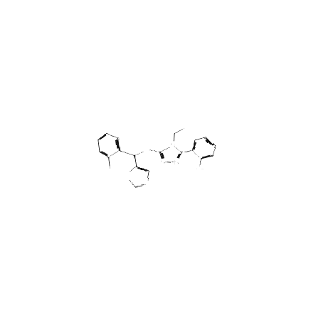 CCn1c(SC(C2=COCO2)c2ccccc2Cl)nnc1-c1ccccc1O